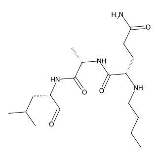 CCCCN[C@@H](CCC(N)=O)C(=O)N[C@@H](C)C(=O)N[C@H](C=O)CC(C)C